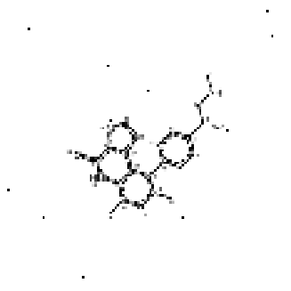 CNC[C@H](C)c1ccc(-c2c(C)nc(C)c3[nH]c(=O)c4sccc4c23)cc1